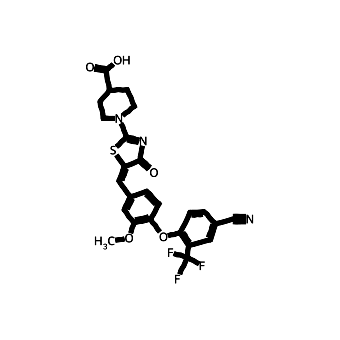 COc1cc(C=C2SC(N3CCC(C(=O)O)CC3)=NC2=O)ccc1Oc1ccc(C#N)cc1C(F)(F)F